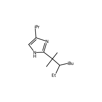 CCC(C)C(CC)C(C)(C)c1nc(C(C)C)c[nH]1